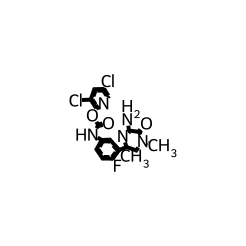 CN1CC(C)(c2cc(NC(=O)Oc3ncc(Cl)cc3Cl)ccc2F)N=C(N)C1=O